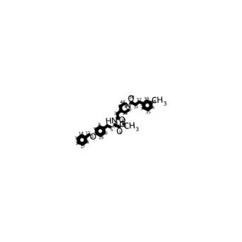 COC(=O)[C@H](CCc1ccc(OCc2ccccc2)cc1)NC(=O)CC1CCN(C(=O)CCc2cccc(C)c2)CC1